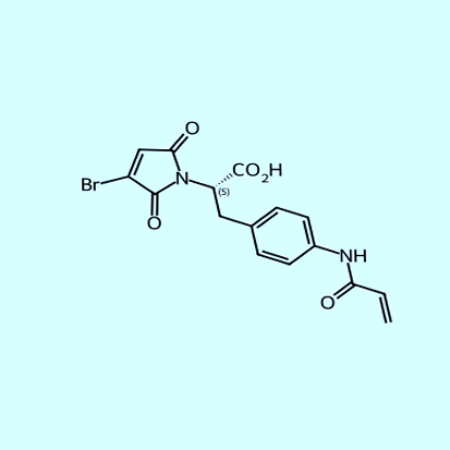 C=CC(=O)Nc1ccc(C[C@@H](C(=O)O)N2C(=O)C=C(Br)C2=O)cc1